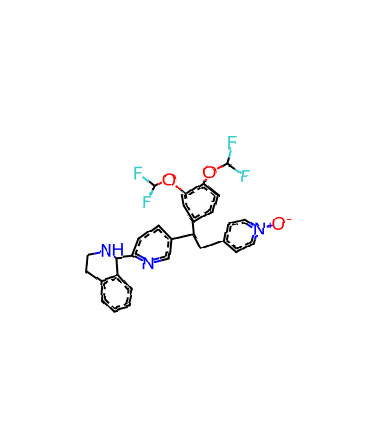 [O-][n+]1ccc(CC(c2ccc(C3NCCc4ccccc43)nc2)c2ccc(OC(F)F)c(OC(F)F)c2)cc1